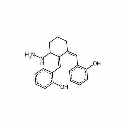 NNC1CCCC(=Cc2ccccc2O)C1=Cc1ccccc1O